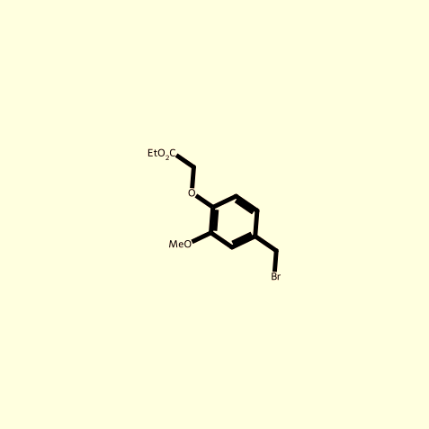 CCOC(=O)COc1ccc(CBr)cc1OC